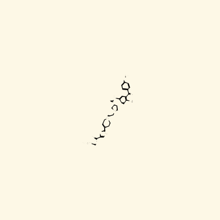 CCN(C(=O)[C@@H]1CCN(CC(=O)N2CC=C(c3ncc(C(=N)/N=C\NC)s3)CC2)C1)c1ccc(N)c(C(=N)c2ccc(OC(C)C)cc2)c1